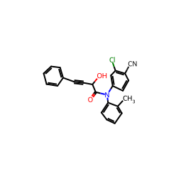 Cc1ccccc1N(C(=O)C(O)C#Cc1ccccc1)c1ccc(C#N)c(Cl)c1